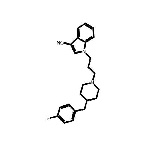 N#Cc1cn(CCCN2CCC(Cc3ccc(F)cc3)CC2)c2ccccc12